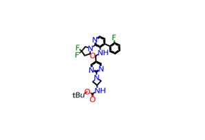 CC(C)(C)OC(=O)NC1CN(c2ncc(C(=O)Nc3c(-c4ccccc4F)ccnc3N3CCC(F)(F)C3)cn2)C1